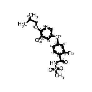 CC(C)COc1ncc(Oc2ccc(C(=O)NS(C)(=O)=O)c(F)c2)cc1Cl